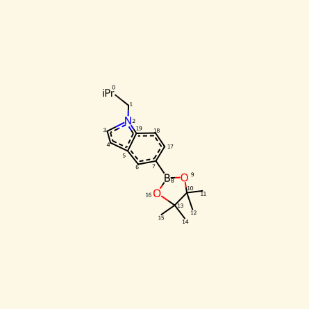 CC(C)Cn1ccc2cc(B3OC(C)(C)C(C)(C)O3)ccc21